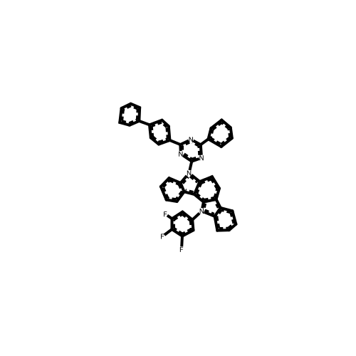 Fc1cc(-n2c3ccccc3c3ccc4c(c5ccccc5n4-c4nc(-c5ccccc5)nc(-c5ccc(-c6ccccc6)cc5)n4)c32)cc(F)c1F